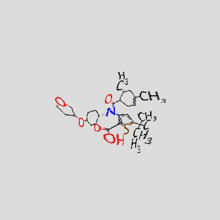 CC1=CCC(C(=O)N(c2cc(C(C)(C)C)sc2C(=O)O)[C@H]2CC[C@H](O[C@H]3CCOC3)CC2)[C@H](C)C1